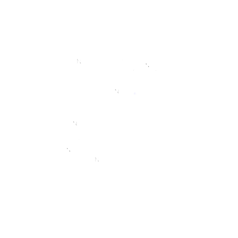 Cc1cc(N(/C(=C/c2ccccc2)C(N)=O)c2ccc(C[N+]3(Cc4ncccn4)CCCCC3)cc2)ccn1